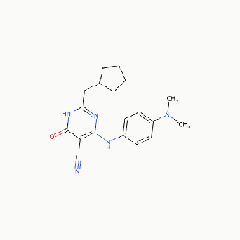 CN(C)c1ccc(Nc2nc(CC3CCCC3)[nH]c(=O)c2C#N)cc1